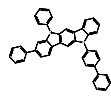 c1ccc(-c2ccc(-n3c4ccccc4c4cc5c(cc43)c3ccc(-c4ccccc4)cc3n5-c3ccccc3)cc2)cc1